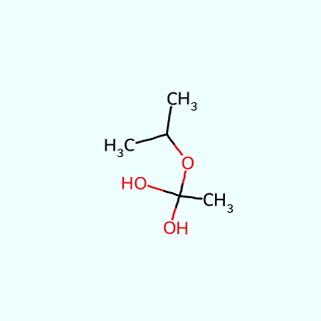 CC(C)OC(C)(O)O